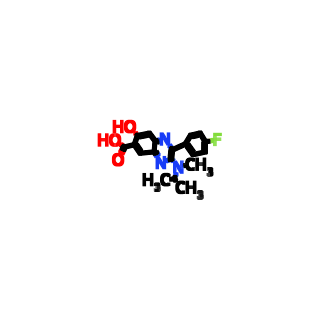 CC(C)N(C)c1nc2cc(C(=O)O)c(O)cc2nc1-c1ccc(F)cc1